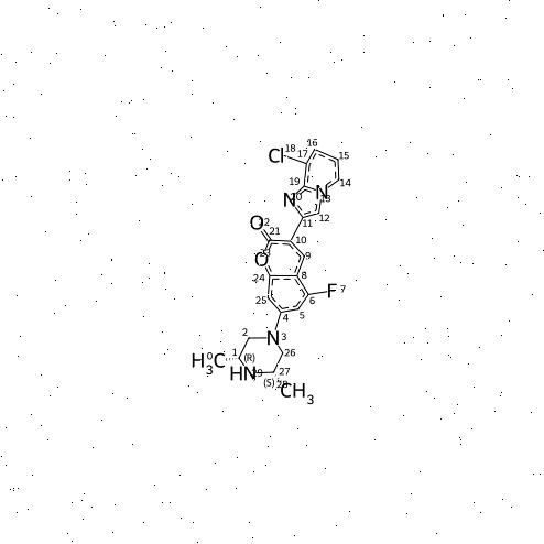 C[C@@H]1CN(c2cc(F)c3cc(-c4cn5cccc(Cl)c5n4)c(=O)oc3c2)C[C@H](C)N1